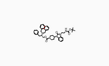 CC(C)(C)OC(=O)NCCn1c(=O)n(C2CCN(C(=O)OC[C@@H](Cc3ccccc3)N(Cc3ccccc3)Cc3ccccc3)CC2)c2ccccc21